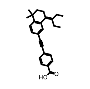 CCC(CC)=C1CCC(C)(C)c2ccc(C#Cc3ccc(C(=O)O)cc3)cc21